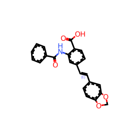 O=C(Nc1cc(/C=C/c2ccc3c(c2)OCO3)ccc1C(=O)O)c1ccccc1